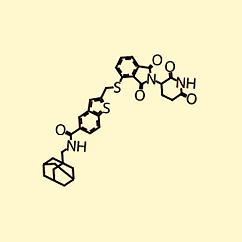 O=C1CCC(N2C(=O)c3cccc(SCc4cc5cc(C(=O)NCC67CC8CC(CC(C8)C6)C7)ccc5s4)c3C2=O)C(=O)N1